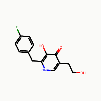 O=c1c(CCO)c[nH]c(Cc2ccc(F)cc2)c1O